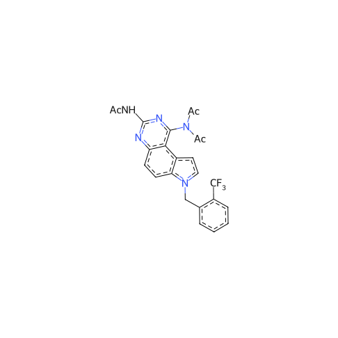 CC(=O)Nc1nc(N(C(C)=O)C(C)=O)c2c(ccc3c2ccn3Cc2ccccc2C(F)(F)F)n1